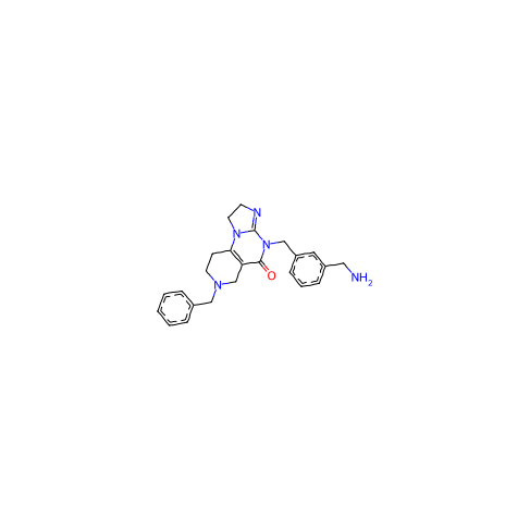 NCc1cccc(CN2C(=O)C3=C(CCN(Cc4ccccc4)C3)N3CCN=C23)c1